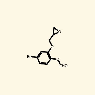 O=COc1ccc(Br)cc1OCC1CO1